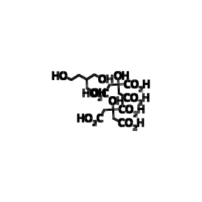 O=C(O)CC(O)(CC(=O)O)C(=O)O.O=C(O)CC(O)(CC(=O)O)C(=O)O.OCCC(CO)CO